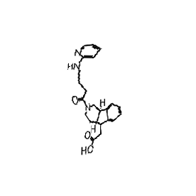 O=C(O)C[C@@H]1c2ccccc2[C@@H]2CN(C(=O)CCCNc3ccccn3)CC[C@H]12